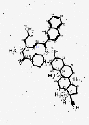 C#C[C@]1(O)CCC2[C@@H]3CCC4C[C@H](O)[C@@H](N5CCN(C(=O)[C@H](C)N(/C=C/C(=O)c6ccc7ccccc7n6)CCC)CC5)C[C@]4(C)C3CC[C@@]21C